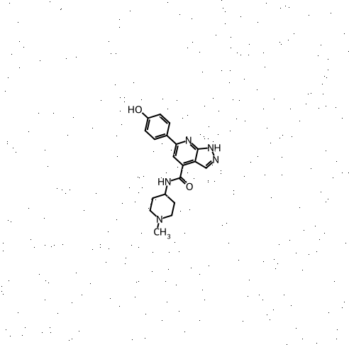 CN1CCC(NC(=O)c2cc(-c3ccc(O)cc3)nc3[nH]ncc23)CC1